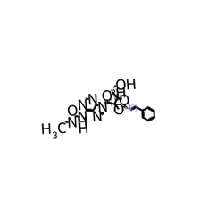 CCNC(=O)Nc1ncnc2c1ncn2[C@@H]1O[C@H](CO)[C@@H]2O[C@H](/C=C/c3ccccc3)OC21